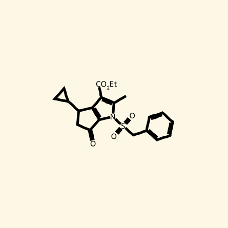 CCOC(=O)c1c2c(n(S(=O)(=O)Cc3ccccc3)c1C)C(=O)CC2C1CC1